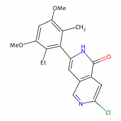 CCc1c(OC)cc(OC)c(C)c1-c1cc2cnc(Cl)cc2c(=O)[nH]1